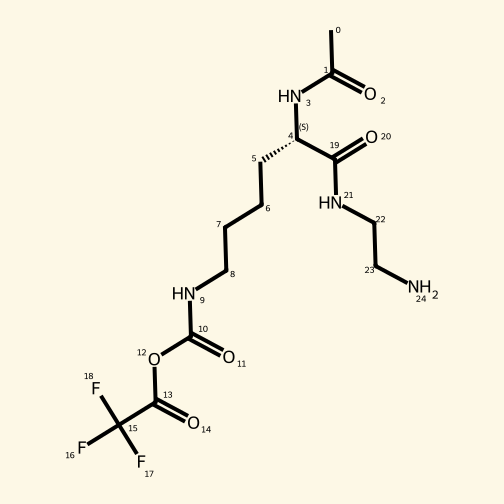 CC(=O)N[C@@H](CCCCNC(=O)OC(=O)C(F)(F)F)C(=O)NCCN